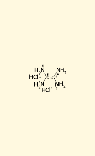 Cl.Cl.NC(N)=C(N)N